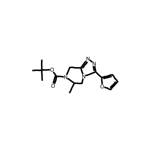 CC1Cn2c(nnc2-c2ccco2)CN1C(=O)OC(C)(C)C